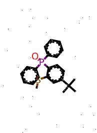 CSc1cc(C(C)(C)C)ccc1P(=O)(c1ccccc1)c1ccccc1